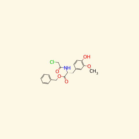 COc1cc(C[C@@H](NC(=O)CCl)C(=O)OCc2ccccc2)ccc1O